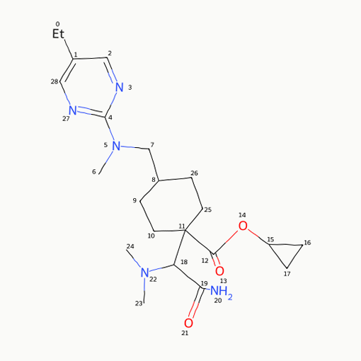 CCc1cnc(N(C)CC2CCC(C(=O)OC3CC3)(C(C(N)=O)N(C)C)CC2)nc1